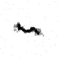 CCN(C)S(=O)(=O)Nc1ccc(F)c(Oc2ccc3ncn(C4COC5(CCN(C(=O)CC6(O)CCN(c7cc8c(cc7F)c(N7CCC(=O)NC7O)nn8C)CC6)CC5)C4)c(=O)c3c2)c1C#N